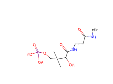 CCCNC(=O)CCNC(=O)C(O)C(C)(C)COP(=O)(O)O